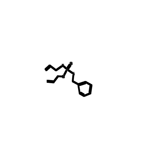 C=CCOP(=O)(SCC=C)SCc1ccccc1